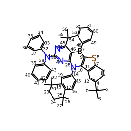 CC(C)(C)c1ccc2sc3c(c2c1)N(c1ccc2c(c1)C(C)(C)CCC2(C)C)c1nc(N(c2ccccc2)c2ccccc2)nc2c1B3c1ccccc1C2(C)C